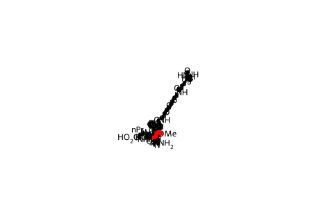 CCCN(CC[C@H](N)C(=O)O)C[C@H]1O[C@@H](n2c(/N=C(\OC)c3ccc(C(=O)NCCCOCCOCCOCCCNC(=O)CCCC[C@@H]4SC[C@@H]5NC(=O)N[C@@H]54)cc3P(=O)(c3ccccc3)c3ccccc3)nc3c(N)ncnc32)[C@@H](O)C1O